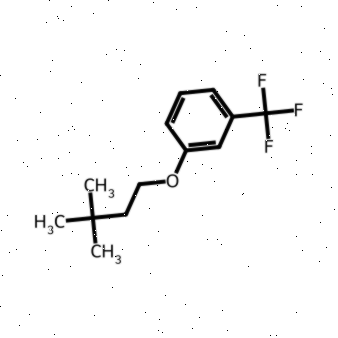 CC(C)(C)CCOc1cccc(C(F)(F)F)c1